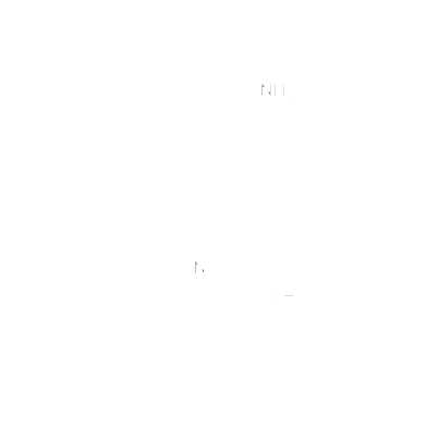 CC1CCCCN1C1CCC(N)CC1